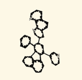 c1ccc(-c2c(-c3cnc4c(ccc5cccnc54)c3)cc(-c3cccnc3)c3c2-c2cccc4cccc-3c24)cc1